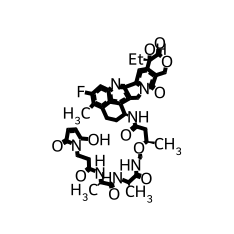 CC[C@@]1(O)C(=O)OCc2c1cc1n(c2=O)Cc2c-1nc1cc(F)c(C)c3c1c2[C@@H](NC(=O)C[C@@H](C)OCNC(=O)[C@H](C)NC(=O)[C@H](C)NC(=O)CCN1C(=O)C=CC1O)CC3